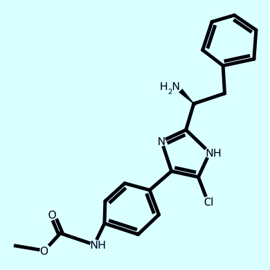 COC(=O)Nc1ccc(-c2nc([C@@H](N)Cc3ccccc3)[nH]c2Cl)cc1